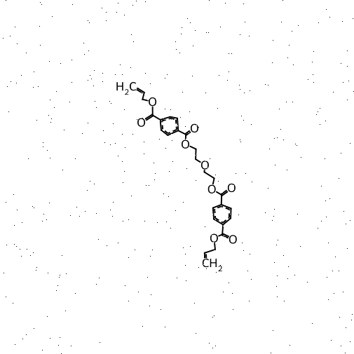 C=CCOC(=O)c1ccc(C(=O)OCCOCCOC(=O)c2ccc(C(=O)OCC=C)cc2)cc1